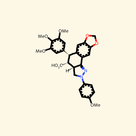 COc1ccc(N2C[C@@H]3C(=N2)c2cc4c(cc2[C@@H](c2cc(OC)c(OC)c(OC)c2)[C@H]3C(=O)O)OCO4)cc1